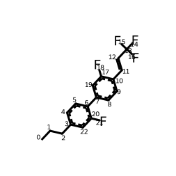 CCCc1ccc(-c2ccc(/C=C/C(F)(F)F)c(F)c2)c(F)c1